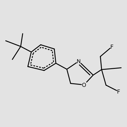 CC(CF)(CF)C1=NC(c2ccc(C(C)(C)C)cc2)CO1